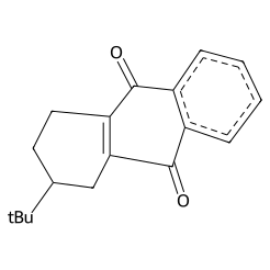 CC(C)(C)C1CCC2=C(C1)C(=O)c1ccccc1C2=O